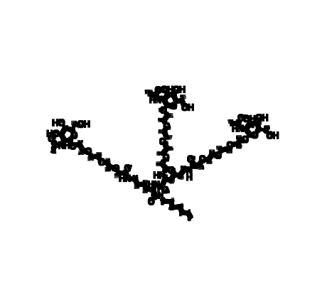 CCCCCCCNC(=O)C(CCCCNC(=O)COCCOCCOCCO[C@@H]1O[C@H](CO)[C@H](O)[C@H](O)[C@H]1NC(C)=O)NC(=O)C(CCCCNC(=O)COCCOCCOCCO[C@@H]1O[C@H](CO)[C@H](O)[C@H](O)[C@H]1NC(C)=O)NC(=O)COCCOCCOCCO[C@@H]1O[C@H](CO)[C@H](O)[C@H](O)[C@H]1NC(C)=O